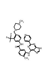 Cc1ccc(C(=O)Nc2ccc(CN3CCN(C)CC3)c(C(F)(F)F)c2)cc1Nc1nc(-c2ccncc2)nc2[nH]cnc12